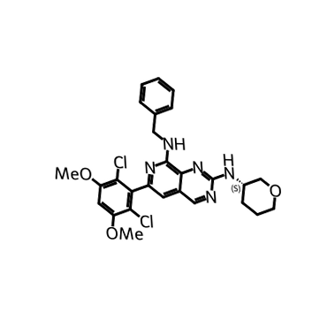 COc1cc(OC)c(Cl)c(-c2cc3cnc(N[C@H]4CCCOC4)nc3c(NCc3ccccc3)n2)c1Cl